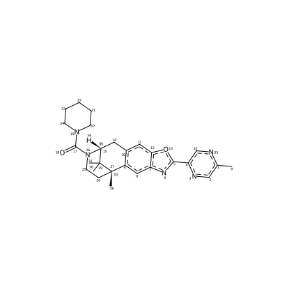 Cc1cnc(-c2nc3cc4c(cc3o2)C[C@H]2N(C(=O)N3CCCCC3)CC[C@]4(C)C2(C)C)cn1